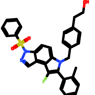 Cc1ccccc1-c1c(F)c2c3cnn(S(=O)(=O)c4ccccc4)c3ccc2n1Cc1ccc(CCO)cc1